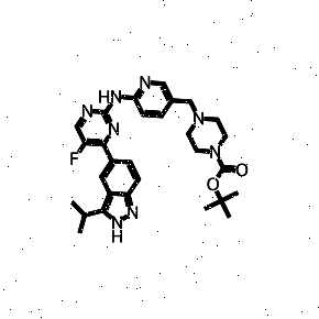 CC(C)c1[nH]nc2ccc(-c3nc(Nc4ccc(CN5CCN(C(=O)OC(C)(C)C)CC5)cn4)ncc3F)cc12